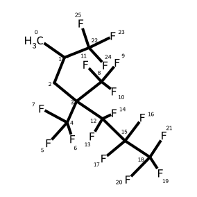 C[C](CC(C(F)(F)F)(C(F)(F)F)C(F)(F)C(F)(F)C(F)(F)F)C(F)(F)F